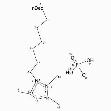 CCCCCCCCCCCCCCCC[n+]1c(C)cc(C)n1C.O=P([O-])(O)O